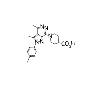 Cc1ccc(-n2nc3c(N4CCC(C(=O)O)CC4)nnc(C)c3c2C)cc1